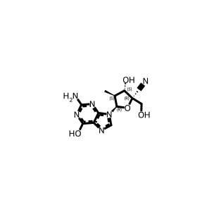 C[C@@H]1[C@H](n2cnc3c(O)nc(N)nc32)O[C@](C#N)(CO)[C@H]1O